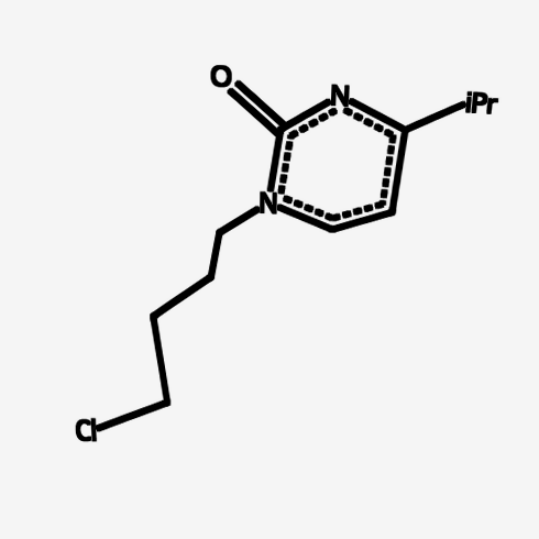 CC(C)c1ccn(CCCCCl)c(=O)n1